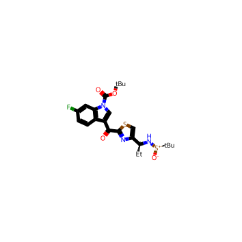 CC[C@H](N[S@@+]([O-])C(C)(C)C)c1csc(C(=O)c2cn(C(=O)OC(C)(C)C)c3cc(F)ccc23)n1